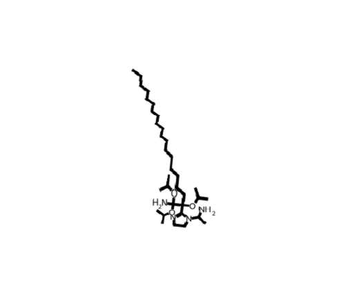 CCCCCCCCCCCCCCCCCCC(OC(C)C)(C1=NCCN1C(C)N)C(N)(OC(C)C)OC(C)C